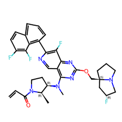 C=CC(=O)N1CC[C@@H](N(C)c2nc(OC[C@@]34CCCN3C[C@H](F)C4)nc3c(F)c(-c4cccc5ccc(F)c(F)c45)ncc23)[C@H]1C